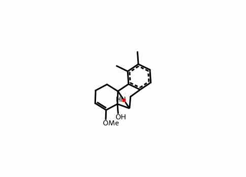 COC1=CCCC23CNC(Cc4ccc(C)c(C)c42)C13O